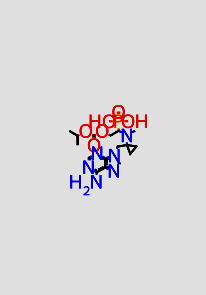 CC(C)OC(=O)OCC(N(C)C1(Cn2cnc3c(N)ncnc32)CC1)P(=O)(O)O